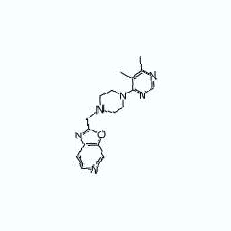 Cc1ncnc(N2CCN(Cc3nc4ccncc4o3)CC2)c1C